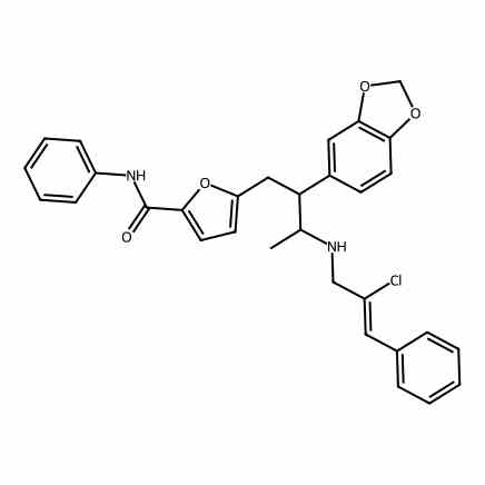 CC(NCC(Cl)=Cc1ccccc1)C(Cc1ccc(C(=O)Nc2ccccc2)o1)c1ccc2c(c1)OCO2